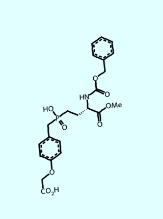 COC(=O)[C@H](CCP(=O)(O)Cc1ccc(OCC(=O)O)cc1)NC(=O)OCc1ccccc1